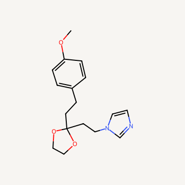 COc1ccc(CCC2(CCn3ccnc3)OCCO2)cc1